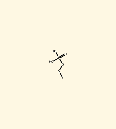 O=P(O)(O)OSF